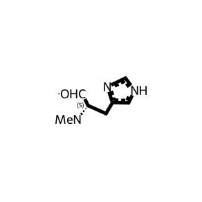 CN[C@H]([C]=O)Cc1c[nH]cn1